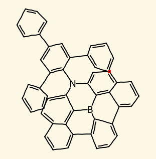 c1ccc(-c2cc(-c3ccccc3)c(N3c4ccc5cccc6c5c4B4c5c-6cccc5-c5cccc6ccc3c4c56)c(-c3ccccc3)c2)cc1